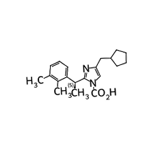 Cc1cccc([C@H](C)c2nc(CC3CCCC3)cn2C(=O)O)c1C